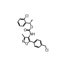 Cc1noc(-c2ccc(CCl)cc2)c1NC(=O)O[C@H](C)c1ccccc1Cl